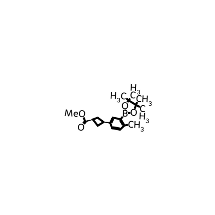 COC(=O)[C@H]1C[C@@H](c2ccc(C)c(B3OC(C)(C)C(C)(C)O3)c2)C1